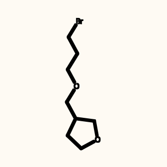 BrCCCOCC1CCOC1